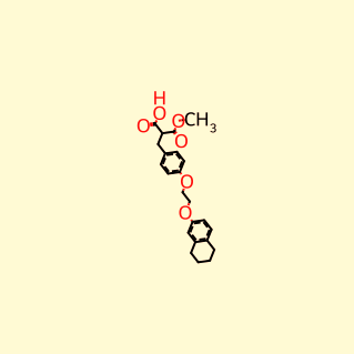 COC(=O)C(Cc1ccc(OCCOc2ccc3c(c2)CCCC3)cc1)C(=O)O